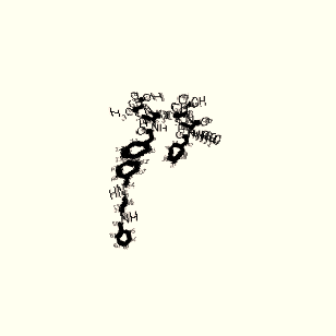 CC1(C)S[C@@H]2[C@H](NC(=O)Cc3ccccc3)C(=O)N2[C@H]1C(=O)O.CC1(C)S[C@@H]2[C@H](NC(=O)Cc3ccccc3)C(=O)N2[C@H]1C(=O)O.O.O.O.O.c1ccc(CNCCNCc2ccccc2)cc1